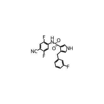 N#Cc1cc(F)c(NS(=O)(=O)c2c[nH]cc2Cc2cccc(F)c2)cc1F